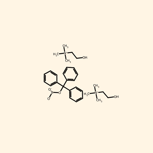 C[N+](C)(C)CCO.C[N+](C)(C)CCO.[O-]B([O-])OC(c1ccccc1)(c1ccccc1)c1ccccc1